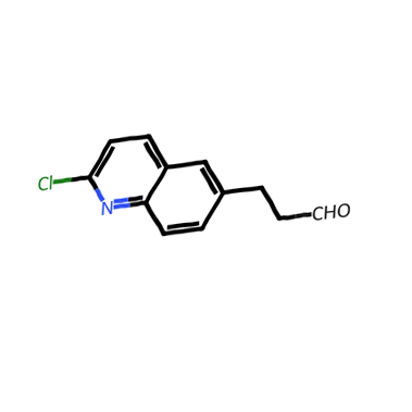 O=CCCc1ccc2nc(Cl)ccc2c1